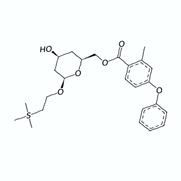 Cc1cc(Oc2ccccc2)ccc1C(=O)OC[C@@H]1C[C@H](O)C[C@H](OCCS(C)(C)C)O1